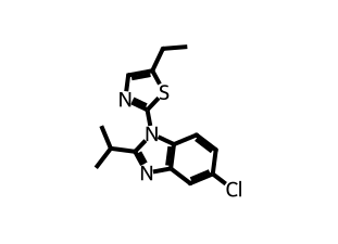 CCc1cnc(-n2c(C(C)C)nc3cc(Cl)ccc32)s1